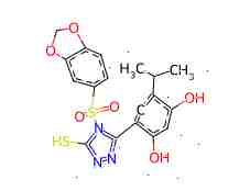 CC(C)c1cc(-c2nnc(S)n2S(=O)(=O)c2ccc3c(c2)OCO3)c(O)cc1O